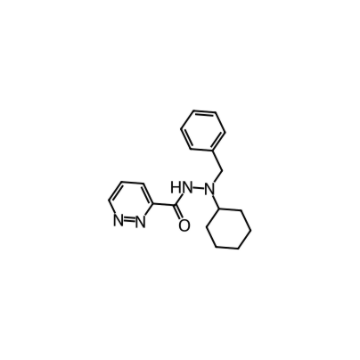 O=C(NN(Cc1ccccc1)C1CCCCC1)c1cccnn1